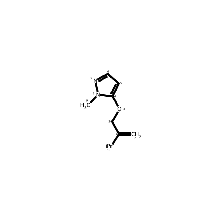 C=C(COc1ccnn1C)C(C)C